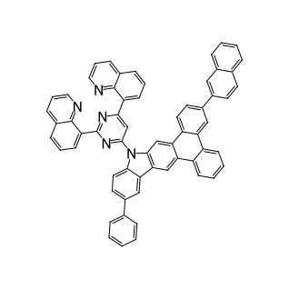 c1ccc(-c2ccc3c(c2)c2cc4c5ccccc5c5cc(-c6ccc7ccccc7c6)ccc5c4cc2n3-c2cc(-c3cccc4cccnc34)nc(-c3cccc4cccnc34)n2)cc1